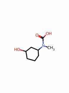 CN(C(=O)O)C1CCCC(O)C1